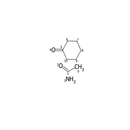 CC=O.N.O=C1CCCCC1